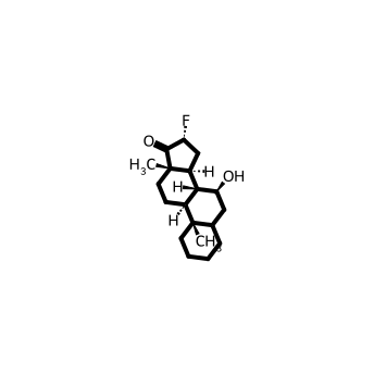 C[C@]12CCCCC1C[C@H](O)[C@@H]1[C@@H]2CC[C@]2(C)C(=O)[C@H](F)C[C@@H]12